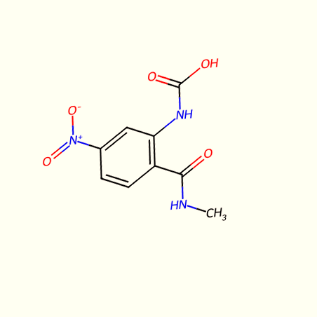 CNC(=O)c1ccc([N+](=O)[O-])cc1NC(=O)O